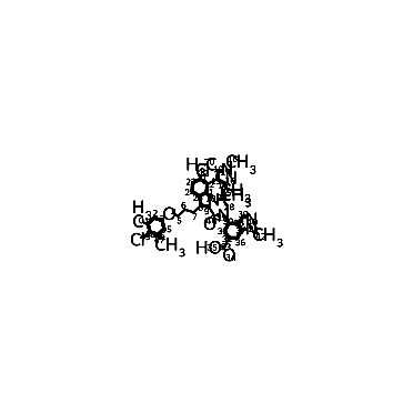 Cc1cc(OCCCc2c3n(c4c(-c5c(C)nn(C)c5C)c(Cl)ccc24)C(C)CN(c2cc(C(=O)O)cc4c2cnn4C)C3=O)cc(C)c1Cl